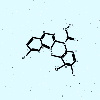 Cc1c(N(C(=O)OC(C)(C)C)c2ccc3ccc(F)cc3n2)ncc(F)c1Cl